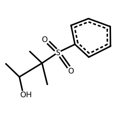 CC(O)C(C)(C)S(=O)(=O)c1ccccc1